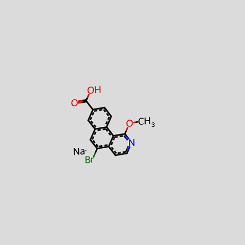 COc1nccc2c(Br)cc3cc(C(=O)O)ccc3c12.[Na]